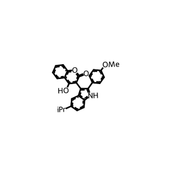 COc1ccc(-c2[nH]c3ccc(C(C)C)cc3c2-c2c(O)c3ccccc3oc2=O)cc1